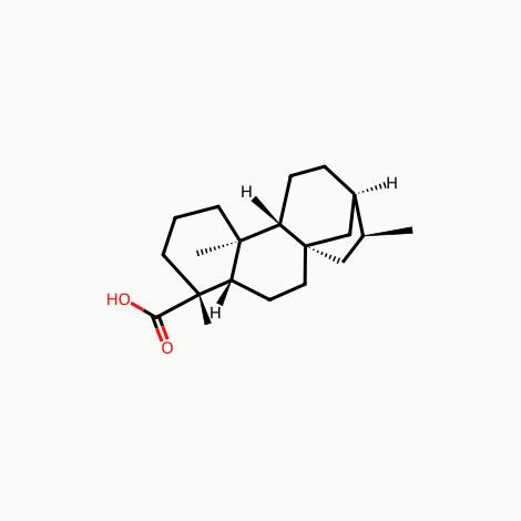 C[C@H]1C[C@]23CC[C@H]4[C@@](C)(CCC[C@@]4(C)C(=O)O)[C@@H]2CC[C@@H]1C3